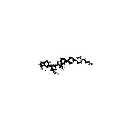 COCCN1CCN(c2ncc(-c3cccc(C(C)(I)Nc4cc(-c5ccc6occ(C)c6c5)nc(C)n4)c3)cn2)CC1